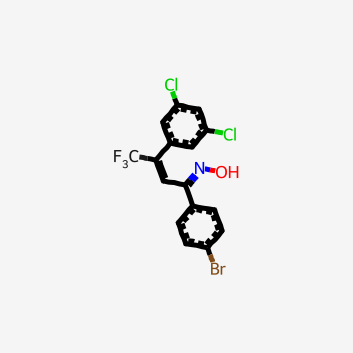 ON=C(/C=C(\c1cc(Cl)cc(Cl)c1)C(F)(F)F)c1ccc(Br)cc1